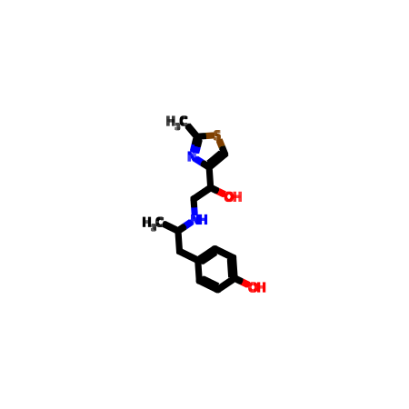 Cc1nc(C(O)CNC(C)Cc2ccc(O)cc2)cs1